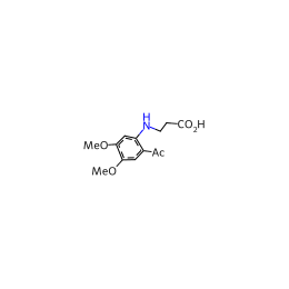 COc1cc(NCCC(=O)O)c(C(C)=O)cc1OC